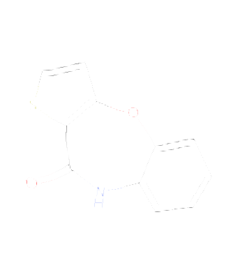 O=C1Nc2ccccc2Oc2ccsc21